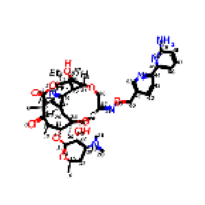 CC[C@H]1OC(=O)[C@H](C)C(=O)[C@H](C)[C@@H](O[C@@H]2O[C@H](C)C[C@H](N(C)C)[C@H]2O)[C@@]2(C)C[C@@H](C)/C(=N\C(C)=O)[C@@H](C)[C@@H](OC/C(=N\OCc3ccc(-c4cccc(N)n4)nc3)CO2)[C@]1(C)O